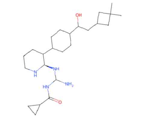 CC1(C)CC(CC(O)C2CCC(C3CCCN[C@@H]3NC(N)NC(=O)C3CC3)CC2)C1